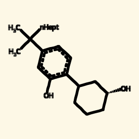 CCCCCCCC(C)(C)c1ccc(C2CCC[C@@H](O)C2)c(O)c1